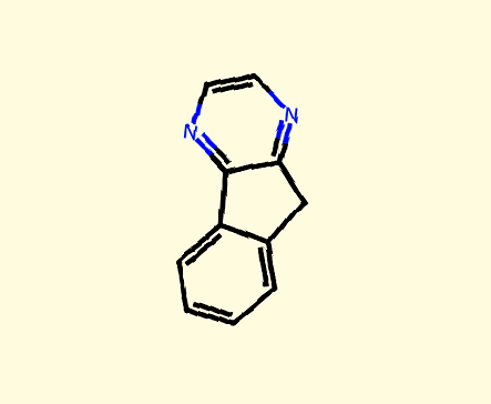 c1ccc2c(c1)Cc1nccnc1-2